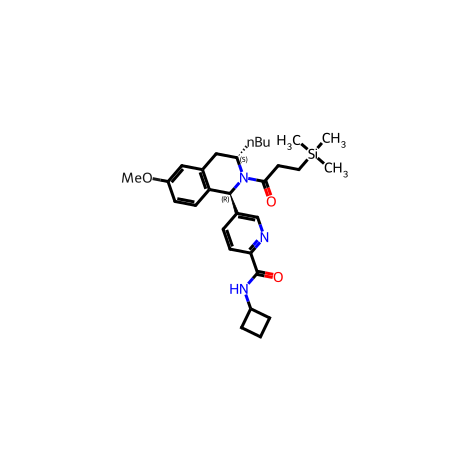 CCCC[C@H]1Cc2cc(OC)ccc2[C@H](c2ccc(C(=O)NC3CCC3)nc2)N1C(=O)CC[Si](C)(C)C